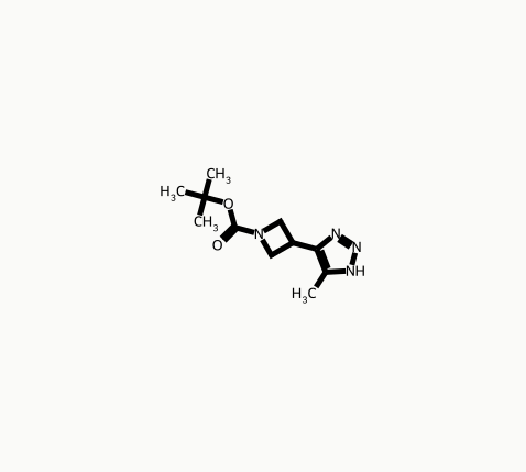 Cc1[nH]nnc1C1CN(C(=O)OC(C)(C)C)C1